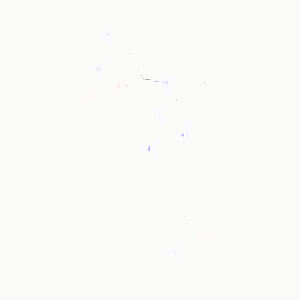 CN(CC1CC1)C(=O)c1ccc(Nc2ncc(C(F)(F)F)c(NCc3cccnc3N(C)S(C)(=O)=O)n2)cc1